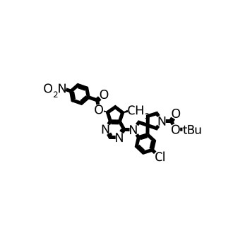 C[C@@H]1C[C@@H](OC(=O)c2ccc([N+](=O)[O-])cc2)c2ncnc(N3CC4(CCN(C(=O)OC(C)(C)C)C4)c4cc(Cl)ccc43)c21